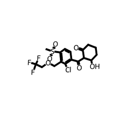 CS(=O)(=O)c1ccc(C(=O)C2C(=O)CCCC2O)c(Cl)c1COCC(F)(F)F